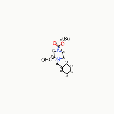 CC(C)(C)OC(=O)N1CCN(CC2CCCCC2)[C@@H](C=O)C1